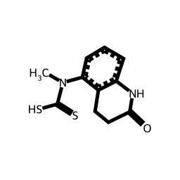 CN(C(=S)S)c1cccc2c1CCC(=O)N2